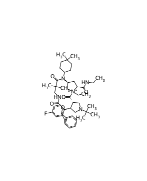 CCNC(=O)[C@@H]1C[C@H](N(C(=O)C(C)(C)CNC(=O)OCc2ccccc2)C2CCC(C)(C)CC2)C[N+]1(CC)C(=O)[C@@H]1CN(C(C)(C)C)C[C@H]1c1ccc(F)cc1F